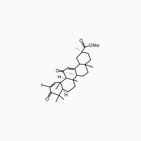 COC(=O)[C@@]1(C)CCC2(C)CC[C@]3(C)C(=CC(=O)[C@@H]4C5(C)C=C(I)C(=O)C(C)(C)[C@@H]5CCC43C)C2C1